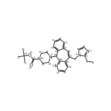 CCc1nccn1CC1=Cc2ccccc2C(N2CCN(C(=O)OC(C)(C)C)CC2)c2ncccc21